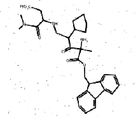 CN(C)C(=O)C(CC(=O)O)NCC(C(=O)C(C)(N)C(=O)OCC1c2ccccc2-c2ccccc21)C1CCCC1